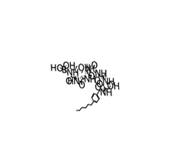 CCCCCCc1ccc(C(=O)N[C@H](CO)C(=O)N[C@H](C)C(=O)NCC(=O)N(C)[C@H](C(=O)N[C@@H](C)C(=O)N[C@@H](CC(C)C)C(=O)NCB(O)O)C(C)O)cc1